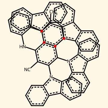 Cc1ccccc1-c1ccccc1Nc1c(C#N)c(-n2c3ccccc3c3ccccc32)c(-n2c3ccccc3c3ccccc32)c(-n2c3ccccc3c3ccccc32)c1-n1c2ccccc2c2ccccc21